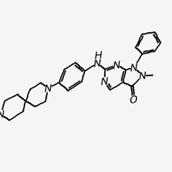 CN1CCC2(CC1)CCN(c1ccc(Nc3ncc4c(=O)n(C)n(-c5ccccc5)c4n3)cc1)CC2